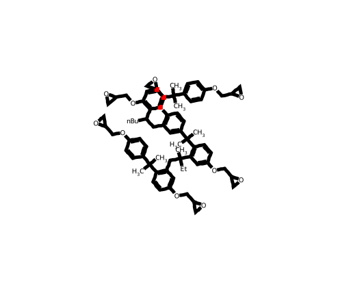 CCCCC(Cc1cc(C(C)(C)c2ccc(OCC3CO3)cc2C(C)(CC)Cc2cc(OCC3CO3)ccc2C(C)(C)c2ccc(OCC3CO3)cc2)ccc1OCC1CO1)c1cc(C(C)(C)c2ccc(OCC3CO3)cc2)ccc1OCC1CO1